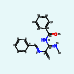 C=C(/N=C/c1ccccc1)/C(=N\C)NC(=O)c1ccccc1